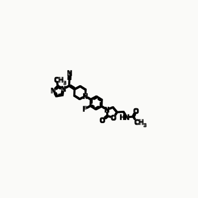 CC(=O)NCC1CN(c2ccc(N3CCC(=C(C#N)n4ccnc4C)CC3)c(F)c2)C(=O)O1